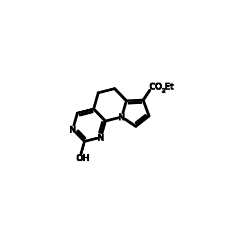 CCOC(=O)c1ccn2c1CCc1cnc(O)nc1-2